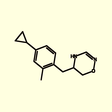 Cc1cc(C2CC2)ccc1CC1CON=CN1